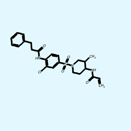 C=CC(=O)NC1CCN(S(=O)(=O)c2ccc(NC(=O)CCc3ccccc3)c(Cl)c2)CC1C